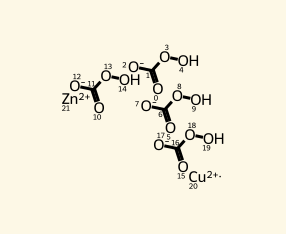 O=C([O-])OO.O=C([O-])OO.O=C([O-])OO.O=C([O-])OO.[Cu+2].[Zn+2]